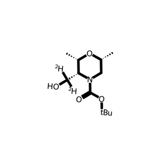 [2H]C([2H])(O)[C@@H]1[C@H](C)O[C@H](C)CN1C(=O)OC(C)(C)C